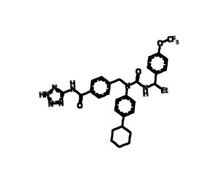 CCC(NC(=O)N(Cc1ccc(C(=O)Nc2nn[nH]n2)cc1)c1ccc(C2CCCCC2)cc1)c1ccc(OC(F)(F)F)cc1